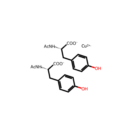 CC(=O)N[C@@H](Cc1ccc(O)cc1)C(=O)[O-].CC(=O)N[C@@H](Cc1ccc(O)cc1)C(=O)[O-].[Cu+2]